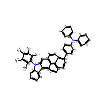 [2H]c1c([2H])c([2H])c(-n2c3ccccc3c3c4ccc5ccc(-c6ccc(N(c7ccccc7)c7ccccc7)cc6)c6ccc(cc32)c4c56)c([2H])c1[2H]